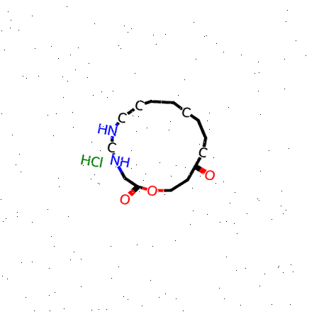 Cl.O=C1CCCCCCCCNCNCC(=O)OCC1